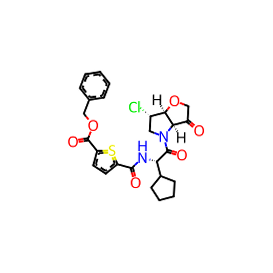 O=C(N[C@H](C(=O)N1C[C@H](Cl)[C@H]2OCC(=O)[C@H]21)C1CCCC1)c1ccc(C(=O)OCc2ccccc2)s1